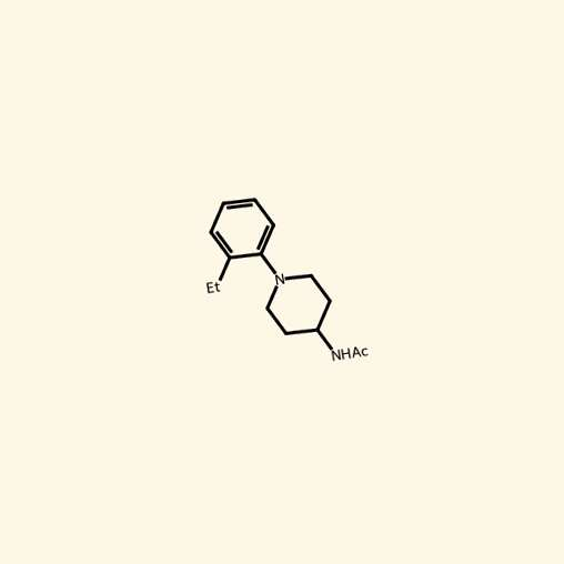 CCc1ccccc1N1CCC(NC(C)=O)CC1